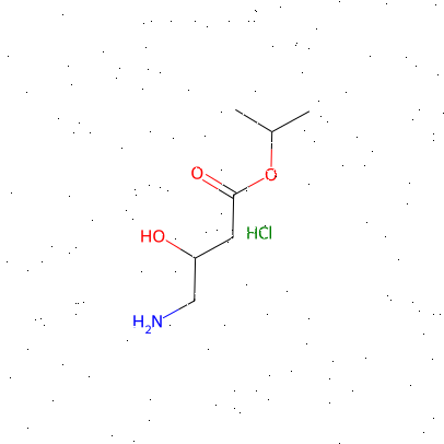 CC(C)OC(=O)CC(O)CN.Cl